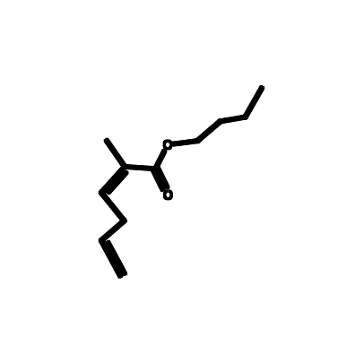 C=CCC=C(C)C(=O)OCCCC